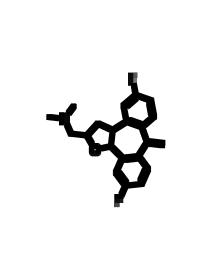 C=C1c2ccc(F)cc2C2CC(CN(C)C)OC2c2cc(F)ccc21